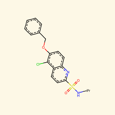 CC(C)NS(=O)(=O)c1ccc2c(Cl)c(OCc3ccccc3)ccc2n1